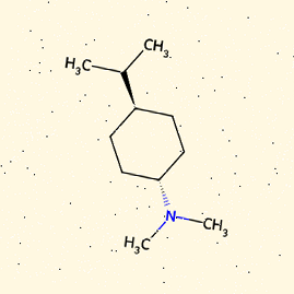 CC(C)[C@H]1CC[C@H](N(C)C)CC1